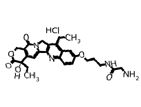 CCc1c2c(nc3ccc(OCCCNC(=O)CN)cc13)-c1cc3c(c(=O)n1C2)COC(=O)[C@]3(O)CC.Cl